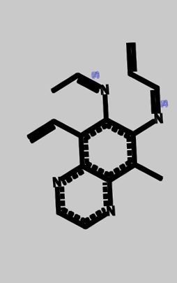 C=C/C=N\c1c(/N=C\C)c(C=C)c2nccnc2c1C